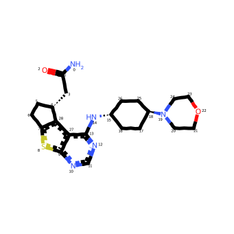 NC(=O)C[C@H]1CCc2sc3ncnc(N[C@H]4CC[C@H](N5CCOCC5)CC4)c3c21